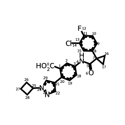 O=C(O)c1cc(NC(=O)C2(c3ccc(F)c(Cl)c3)CC2)ccc1-c1cnn(C2CCC2)c1